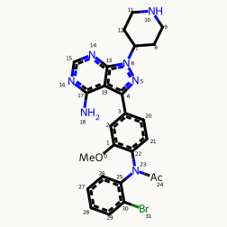 COc1cc(-c2nn(C3CCNCC3)c3ncnc(N)c23)ccc1N(C(C)=O)c1ccccc1Br